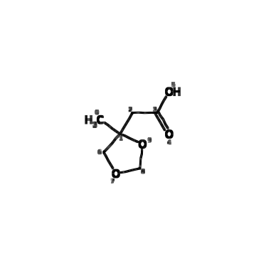 CC1(CC(=O)O)COCO1